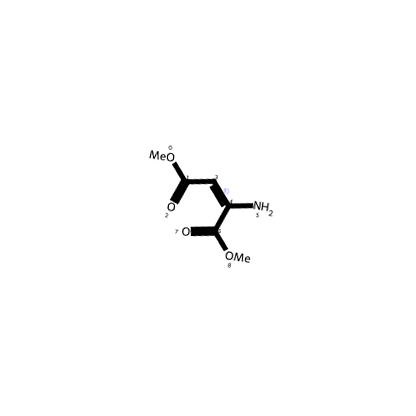 COC(=O)/C=C(/N)C(=O)OC